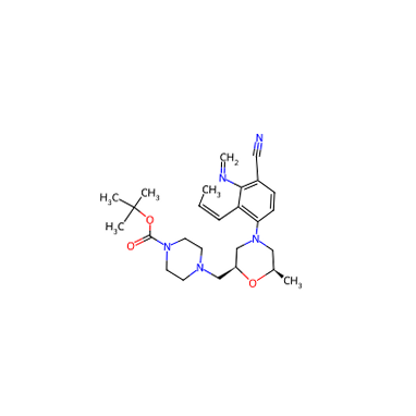 C=Nc1c(C#N)ccc(N2C[C@H](CN3CCN(C(=O)OC(C)(C)C)CC3)O[C@H](C)C2)c1/C=C\C